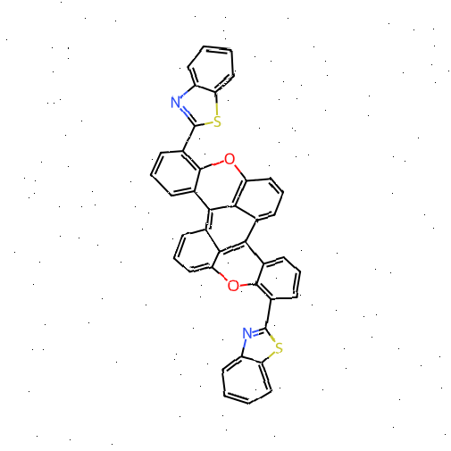 c1ccc2sc(-c3cccc4c3oc3cccc5c3c4c3cccc4oc6c(-c7nc8ccccc8s7)cccc6c5c43)nc2c1